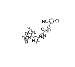 Cc1ncc(C(C)n2cc(C(=O)NC3CC(c4cc(Cl)ccc4C#N)C3)nn2)cc1N1C[C@H]2C[C@H]2C1=O